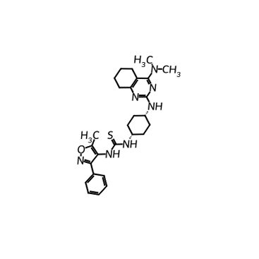 Cc1onc(-c2ccccc2)c1NC(=S)N[C@H]1CC[C@@H](Nc2nc3c(c(N(C)C)n2)CCCC3)CC1